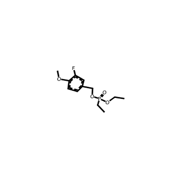 CCOP(=O)(CC)OCc1ccc(OC)c(F)c1